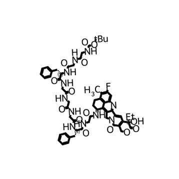 CC[C@@]1(O)C(=O)OCc2c1cc1n(c2=O)Cc2c-1nc1cc(F)c(C)c3c1c2[C@@H](NC(=O)CNC(=O)[C@H](Cc1ccccc1)NC(=O)CNC(=O)CNC(=O)CNC(=O)[C@H](Cc1ccccc1)NC(=O)CNC(=O)CNC(=O)OC(C)(C)C)CC3